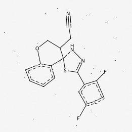 N#CCC1COc2ccccc2C12NN=C(c1cc(F)ccc1F)S2